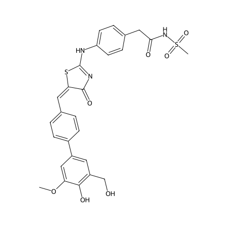 COc1cc(-c2ccc(C=C3SC(Nc4ccc(CC(=O)NS(C)(=O)=O)cc4)=NC3=O)cc2)cc(CO)c1O